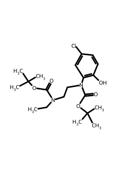 CCN(CCN(C(=O)OC(C)(C)C)c1cc(Cl)ccc1O)C(=O)OC(C)(C)C